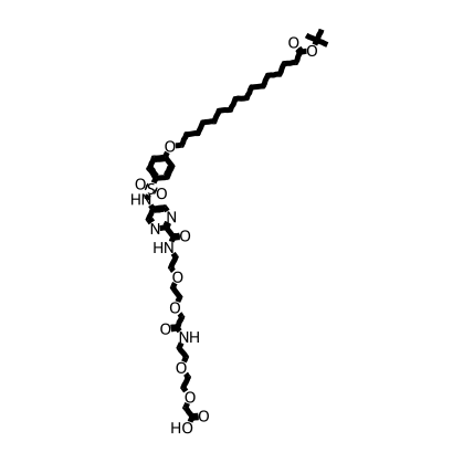 CC(C)(C)OC(=O)CCCCCCCCCCCCCCCOc1ccc(S(=O)(=O)Nc2cnc(C(=O)NCCOCCOCC(=O)NCCOCCOCC(=O)O)nc2)cc1